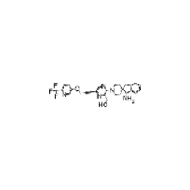 NC1c2ccccc2CC12CCN(c1ncc(C#CCOc3ccc(C(F)(F)F)nc3)nc1CO)CC2